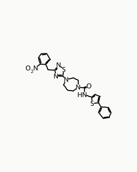 O=C(Nc1ccc(-c2ccccc2)s1)N1CCCN(c2nc(Cc3ccccc3[N+](=O)[O-])ns2)CC1